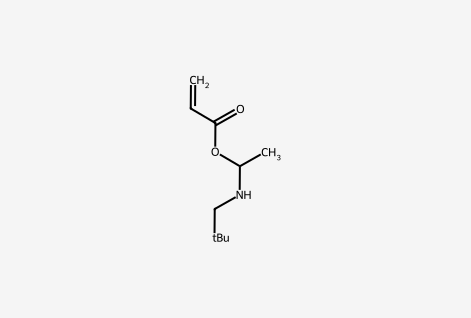 C=CC(=O)OC(C)NCC(C)(C)C